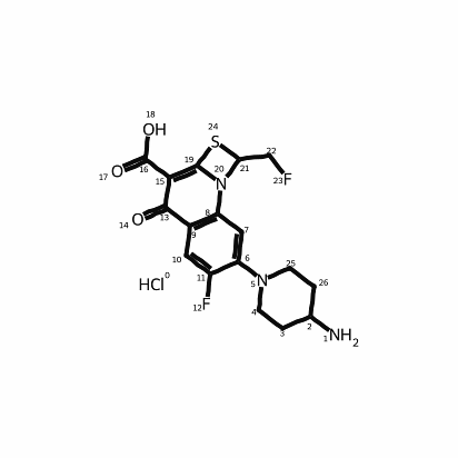 Cl.NC1CCN(c2cc3c(cc2F)c(=O)c(C(=O)O)c2n3C(CF)S2)CC1